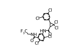 O=C(NCC(F)(F)F)c1cc(NC(=O)C2C(c3cc(Cl)cc(Cl)c3)C2(Cl)Cl)c(Cl)cc1Cl